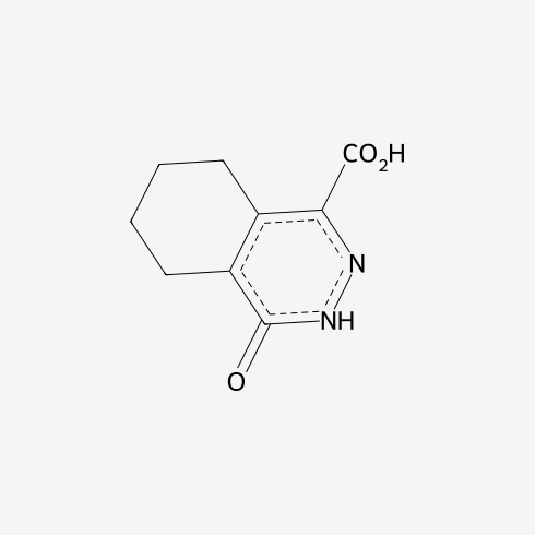 O=C(O)c1n[nH]c(=O)c2c1CCCC2